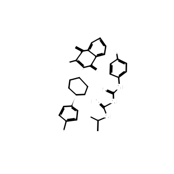 CC(C)NC(=N)NC(=N)Nc1ccc(Cl)cc1.Cl.O=C1C(O)=C([C@H]2CC[C@H](c3ccc(Cl)cc3)CC2)C(=O)c2ccccc21